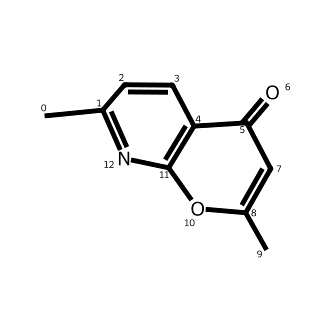 Cc1ccc2c(=O)cc(C)oc2n1